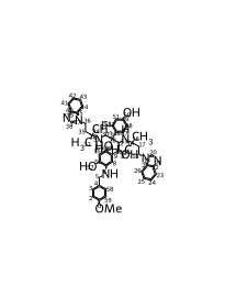 COc1ccc(CNc2cc(C(O)C(NC(C)(C)CCn3cnc4ccccc43)C(O)(CNC(C)(C)CCn3cnc4ccccc43)c3ccc(O)cc3F)ccc2O)cc1